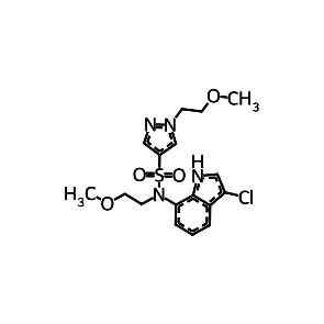 COCCN(c1cccc2c(Cl)c[nH]c12)S(=O)(=O)c1cnn(CCOC)c1